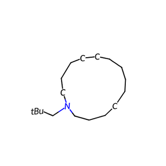 CC(C)(C)CN1CCCCCCCCCCCCC1